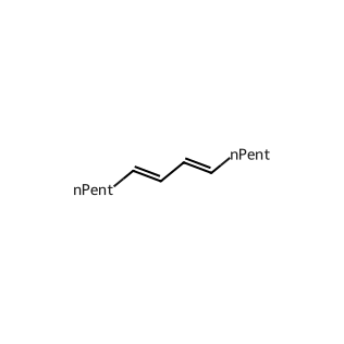 CCCCC/C=C/C=C/CCCCC